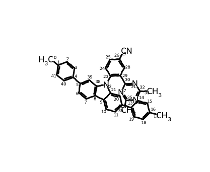 Cc1ccc(-c2ccc3c4ccc(-c5ccc(C)cc5)cc4n(-c4ccc(C#N)cc4-c4nc(C)nc(C)n4)c3c2)cc1